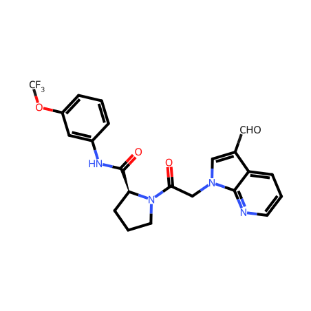 O=Cc1cn(CC(=O)N2CCC[C@H]2C(=O)Nc2cccc(OC(F)(F)F)c2)c2ncccc12